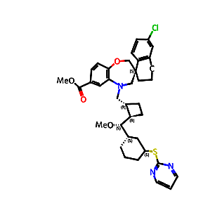 COC(=O)c1ccc2c(c1)N(C[C@@H]1CC[C@H]1[C@@H](OC)[C@H]1CCC[C@H](Sc3ncccn3)C1)C[C@@]1(CCCc3cc(Cl)ccc31)CO2